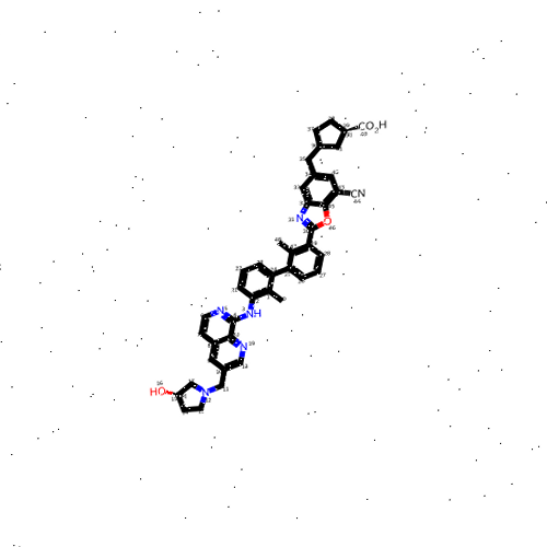 Cc1c(Nc2nccc3cc(CN4CC[C@@H](O)C4)cnc23)cccc1-c1cccc(-c2nc3cc(CC4CC[C@@H](C(=O)O)C4)cc(C#N)c3o2)c1C